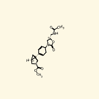 COC(=O)N1C[C@H]2C[C@@]2(C2=CCC(N3C[C@H](CNC(C)=O)OC3=O)C=C2)C1